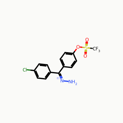 N/N=C(/c1ccc(Cl)cc1)c1ccc(OS(=O)(=O)C(F)(F)F)cc1